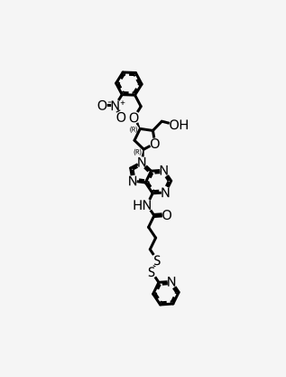 O=C(CCCSSc1ccccn1)Nc1ncnc2c1ncn2[C@H]1C[C@@H](OCc2ccccc2[N+](=O)[O-])C(CO)O1